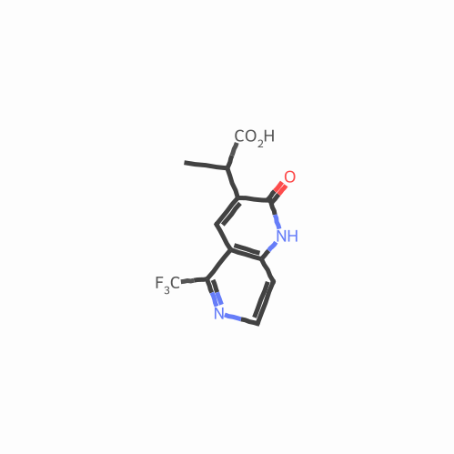 CC(C(=O)O)c1cc2c(C(F)(F)F)nccc2[nH]c1=O